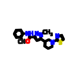 Cn1nc(C(=O)Nc2ccccc2C#N)cc1C1=CCCN(c2nccs2)C1